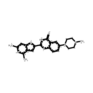 Cc1cc2oc(-c3nc4ccc(N5CCN(C)CC5)cc4c(=O)[nH]3)cc2c(C)n1